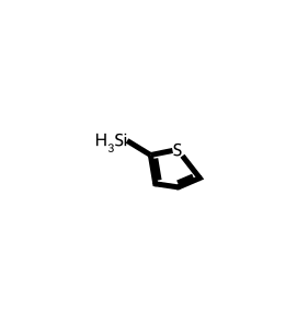 [SiH3]c1cccs1